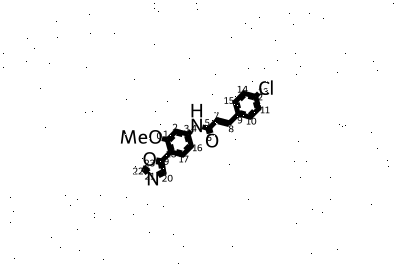 COc1cc(NC(=O)/C=C/c2ccc(Cl)cc2)ccc1-c1cnco1